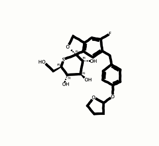 OC[C@H]1S[C@]2(OCc3cc(F)c(Cc4ccc(OC5CCCO5)cc4)cc32)[C@H](O)[C@@H](O)[C@@H]1O